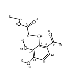 CCOC(=O)COc1c(C(C)=O)ccc(OC)c1OC